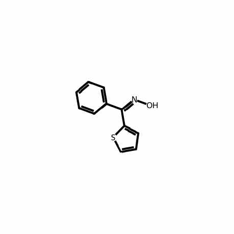 ON=C(c1ccccc1)c1cccs1